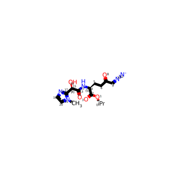 CC(C)OC(=O)[C@H](CCC(=O)C=[N+]=[N-])NC(=O)[C@H](O)c1nccn1C